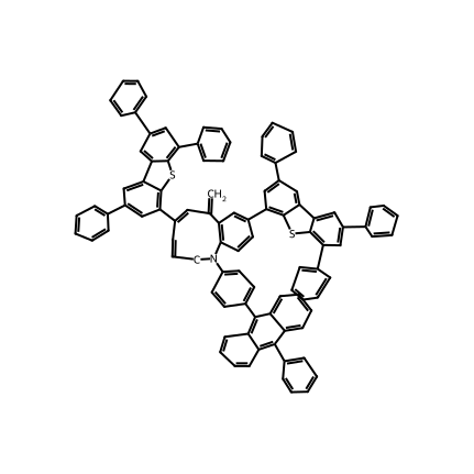 C=C1/C=C(c2cc(-c3ccccc3)cc3c2sc2c(-c4ccccc4)cc(-c4ccccc4)cc23)\C=C/CN(c2ccc(-c3c4ccccc4c(-c4ccccc4)c4ccccc34)cc2)c2ccc(-c3cc(-c4ccccc4)cc4c3sc3c(-c5ccccc5)cc(-c5ccccc5)cc34)cc21